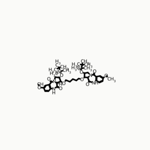 COc1ccc2c(c1)C(=O)N1CC(O[Si](C)(C)C(C)(C)C)C(OCCCCCOC3[C@H]4C(=O)Nc5ccc(OC)cc5C(=O)N4C[C@H]3O[Si](C)(C)C(C)(C)C)C1C(=O)N2